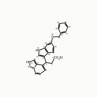 CCOC(=O)CC(C1=CC=CN2SNC=C12)c1c[nH]c2cc(OCc3ccccc3)ccc12